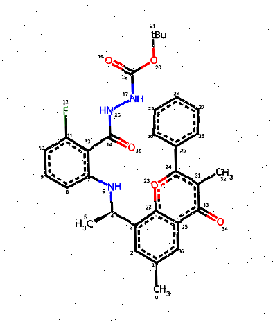 Cc1cc([C@@H](C)Nc2cccc(F)c2C(=O)NNC(=O)OC(C)(C)C)c2oc(-c3ccccc3)c(C)c(=O)c2c1